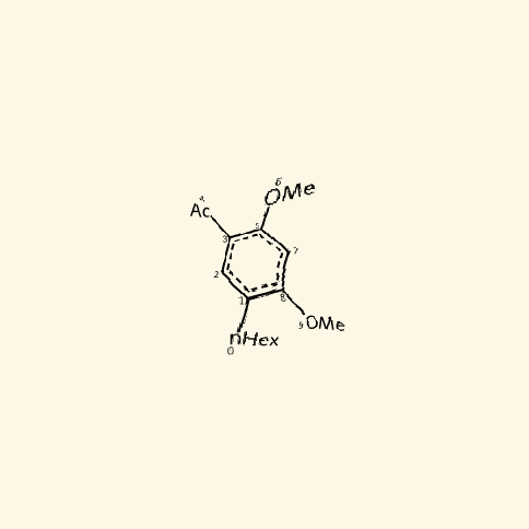 CCCCCCc1cc(C(C)=O)c(OC)cc1OC